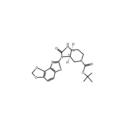 CC(C)(C)OC(=O)N1CC[C@@H]2NC(=O)N(c3nc4c5c(ccc4s3)OCO5)[C@@H]2C1